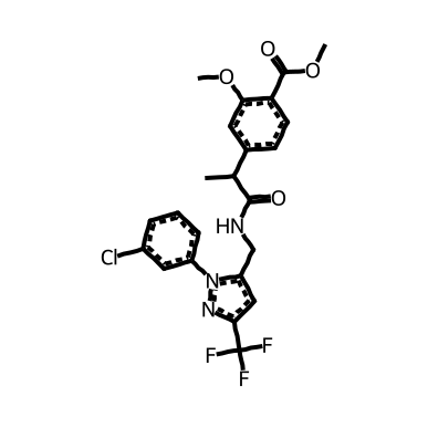 COC(=O)c1ccc(C(C)C(=O)NCc2cc(C(F)(F)F)nn2-c2cccc(Cl)c2)cc1OC